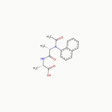 CC(=O)N(c1cccc2ccccc12)[C@@H](C)C(=O)N[C@@H](C)C(=O)O